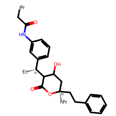 CCC[C@@]1(CCc2ccccc2)CC(O)C([C@H](CC)c2cccc(NC(=O)CC(C)C)c2)C(=O)O1